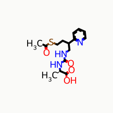 CC(=O)SCCC(CNC(=O)N[C@@H](C)C(=O)O)c1ccccn1